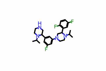 CC(C)N1CCNCC1c1cc(F)cc(N2CCN(C(C)C)C(c3cc(F)ccc3F)C2)c1